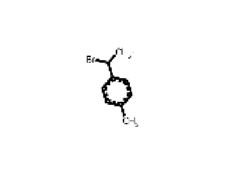 [CH2]C(Br)c1ccc(C)cc1